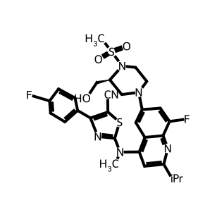 CC(C)c1cc(N(C)c2nc(-c3ccc(F)cc3)c(C#N)s2)c2cc(N3CCN(S(C)(=O)=O)[C@H](CO)C3)cc(F)c2n1